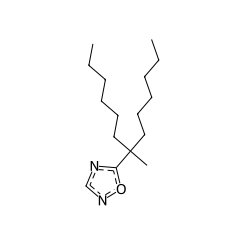 CCCCCCC(C)(CCCCCC)c1ncno1